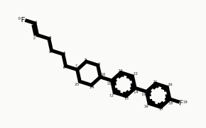 FC=CCCCCC1CCC(c2ccc(-c3ccc(F)cc3)cc2)CC1